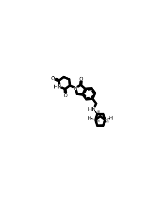 O=C1CCC(N2Cc3cc(CN[C@H]4C[C@H]5CC[C@@H]4C5)ccc3C2=O)C(=O)N1